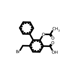 CC(=O)Oc1c(C(=O)O)ccc(CBr)c1-c1ccccc1